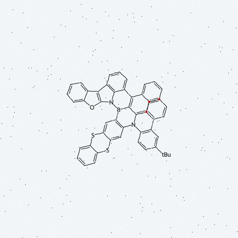 CC(C)(C)c1ccc(N2c3cc4c(cc3B3c5c2cc2ccccc2c5-c2cccc5c6c7ccccc7oc6n3c25)Sc2ccccc2S4)c(-c2ccccc2)c1